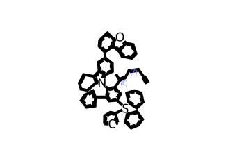 C#C/C=C\C=C(/C)c1cc(S(c2ccccc2)(c2ccccc2)c2ccccc2)cc(-c2ccccc2)c1-n1c2c(c3cc(-c4cccc5oc6ccccc6c45)ccc31)C=CCC2